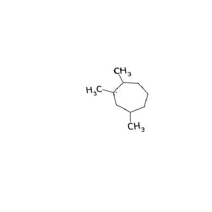 C[C]1CC(C)CCCC1C